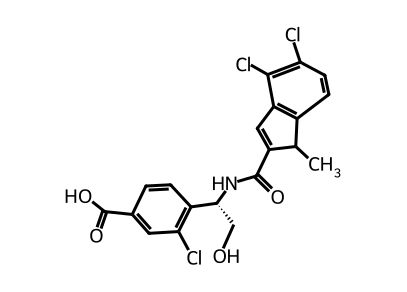 CC1C(C(=O)N[C@H](CO)c2ccc(C(=O)O)cc2Cl)=Cc2c1ccc(Cl)c2Cl